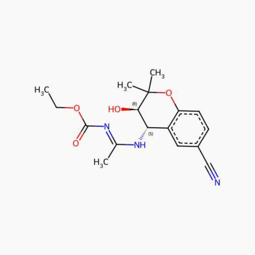 CCOC(=O)N=C(C)N[C@H]1c2cc(C#N)ccc2OC(C)(C)[C@@H]1O